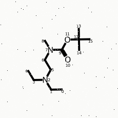 CCN(CC)CCN(C)C(=O)OC(C)(C)C